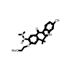 COCCOc1cc2c(cc1[S+]([O-])N(C)C)C(=O)c1c([nH]c3cc(C#N)ccc13)C2(C)C